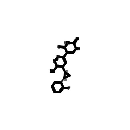 N#Cc1nnc(-c2c[nH]c(=O)[nH]c2=O)cc1[C@H]1C[C@@H]1c1ccccc1F